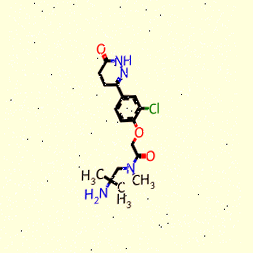 CN(CC(C)(C)N)C(=O)COc1ccc(C2=NNC(=O)CC2)cc1Cl